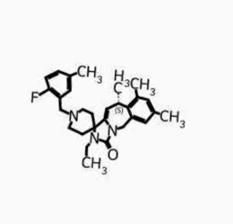 CCN1C(=O)N2Cc3cc(C)cc(C)c3[C@@H](C)C=C2C12CCN(Cc1cc(C)ccc1F)CC2